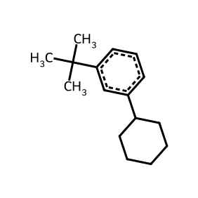 CC(C)(C)c1cccc(C2CCCCC2)c1